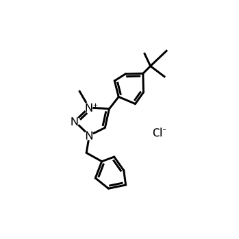 C[n+]1nn(Cc2ccccc2)cc1-c1ccc(C(C)(C)C)cc1.[Cl-]